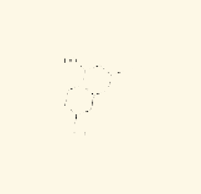 CCCC1CC(O)C2CCC(C)CC2O1